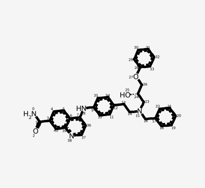 NC(=O)c1ccc2c(Nc3ccc(CCN(Cc4ccccc4)C[C@H](O)COc4ccccc4)cc3)ccnc2c1